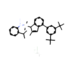 CC1=Cc2c(-c3cc(C(C)(C)C)cc(C(C)(C)C)c3)cccc2C1[Si](C)(C)Nc1ccccc1C(C)C.[Cl-].[Cl-].[Ti+2]